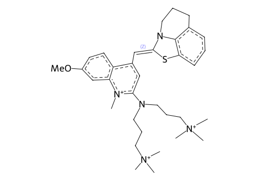 COc1ccc2c(/C=C3\Sc4cccc5c4N3CCC5)cc(N(CCC[N+](C)(C)C)CCC[N+](C)(C)C)[n+](C)c2c1